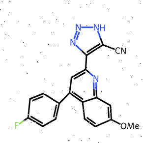 COc1ccc2c(-c3ccc(F)cc3)cc(-c3nn[nH]c3C#N)nc2c1